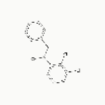 Clc1cccc(N(Cl)Cc2ccccc2)c1Cl